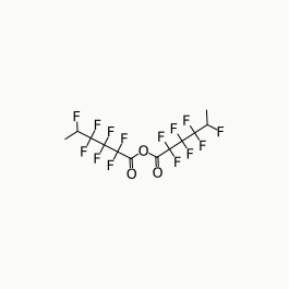 CC(F)C(F)(F)C(F)(F)C(F)(F)C(=O)OC(=O)C(F)(F)C(F)(F)C(F)(F)C(C)F